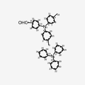 Cc1ccc(N(c2ccc(C)cc2)c2ccc(C=O)cc2)cc1.c1ccc(N(c2ccccc2)c2ccccc2)cc1